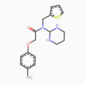 Cc1ccc(OCC(=O)N(Cc2cccs2)C2NCCCN2)cc1